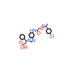 C/C(=N/OCC(=O)Nc1ccc2c(c1)ncn2C(CC(=O)O)c1ccccc1)c1ccc(Cl)cc1